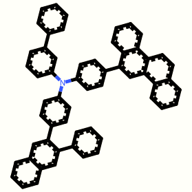 c1ccc(-c2cccc(N(c3ccc(-c4cc5ccccc5cc4-c4ccccc4)cc3)c3ccc(-c4cc5c6ccccc6ccc5c5ccccc45)cc3)c2)cc1